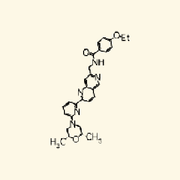 CCOc1ccc(C(=O)NCc2cc3nc(-c4cccc(N5C[C@@H](C)O[C@@H](C)C5)n4)ccc3cn2)cc1